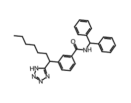 CCCCCCC(c1cccc(C(=O)NC(c2ccccc2)c2ccccc2)c1)c1nnn[nH]1